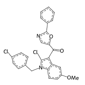 COc1ccc2c(c1)c(C(=O)c1cnc(-c3ccccc3)o1)c(Cl)n2Cc1ccc(Cl)cc1